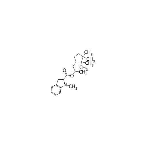 CC(CC1CCC(C)(C)C1(C)C)OC(=O)C1Cc2ccccc2N1C